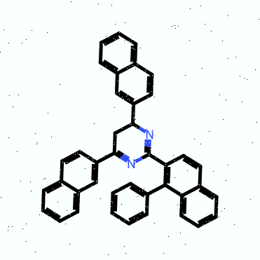 c1ccc(-c2c(C3=NC(c4ccc5ccccc5c4)CC(c4ccc5ccccc5c4)=N3)ccc3ccccc23)cc1